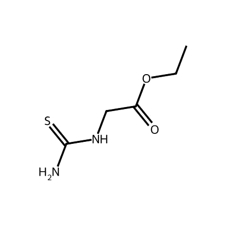 CCOC(=O)CNC(N)=S